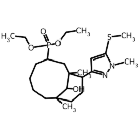 CCOP(=O)(OCC)C1CCCCC2(C)CCC(c3cc(SC)n(C)n3)C(C)(C1)C2O